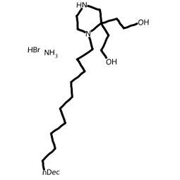 Br.CCCCCCCCCCCCCCCCCCCCN1CCNCC1(CCO)CCO.N